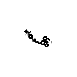 O=S(=O)(c1ccc(N2CC(CCCC3CCC(C4(C5CCCC5)NCCc5ccccc54)CC3)C2)cc1)C1CC1